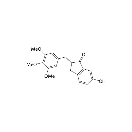 COc1cc(/C=C2\Cc3ccc(O)cc3C2=O)cc(OC)c1OC